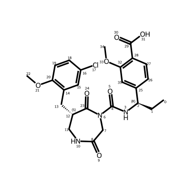 CC[C@@H](NC(=O)N1CC(=O)NC[C@H](Cc2cc(Cl)ccc2OC)C1=O)c1ccc(C(=O)O)c(OC)c1